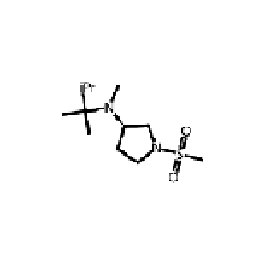 CC(C)C(C)(C)N(C)[C@@H]1CCN(S(C)(=O)=O)C1